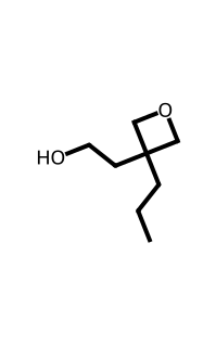 CCCC1(CCO)COC1